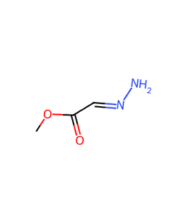 COC(=O)C=NN